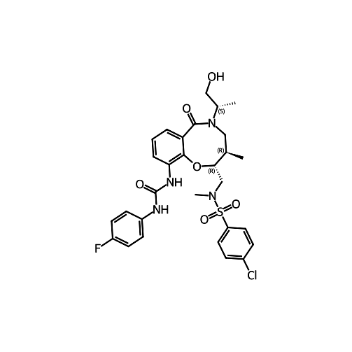 C[C@@H]1CN([C@@H](C)CO)C(=O)c2cccc(NC(=O)Nc3ccc(F)cc3)c2O[C@H]1CN(C)S(=O)(=O)c1ccc(Cl)cc1